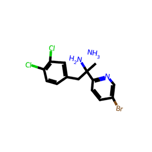 CC(N)(Cc1ccc(Cl)c(Cl)c1)c1ccc(Br)cn1.N